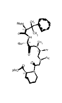 CN[C@H](C(=O)N[C@H](C(=O)N(C)[C@H](CN(CC(=O)N1CCCC[C@H]1C(=O)OC)C(C)=O)C(C)C)C(C)(C)C)C(C)(C)c1ccccc1